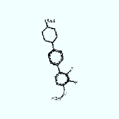 CCCCCCCCOc1ccc(-c2ccc(C3CCC(CCCCCCCC)CC3)cc2)c(F)c1F